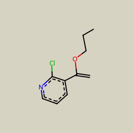 C=C(OCCC)c1cccnc1Cl